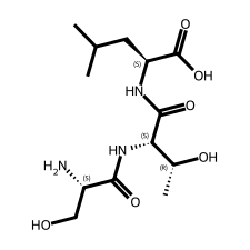 CC(C)C[C@H](NC(=O)[C@@H](NC(=O)[C@@H](N)CO)[C@@H](C)O)C(=O)O